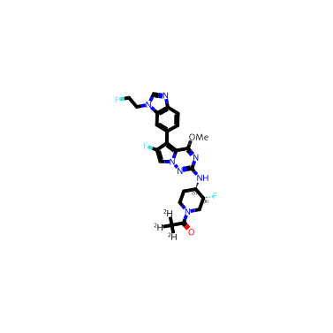 [2H]C([2H])([2H])C(=O)N1CC[C@H](Nc2nc(OC)c3c(-c4ccc5ncn(CCF)c5c4)c(F)cn3n2)[C@H](F)C1